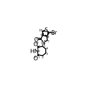 O=C1CCC[C@H](N2Cc3c(csc3Br)C2=O)C(=O)N1